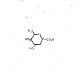 CC1O[C@H](C(=O)O)C[C@H](O)[C@H]1O